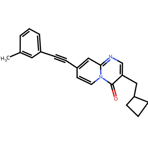 Cc1cccc(C#Cc2ccn3c(=O)c(CC4CCC4)cnc3c2)c1